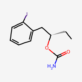 CC[C@@H](Cc1ccccc1I)OC(N)=O